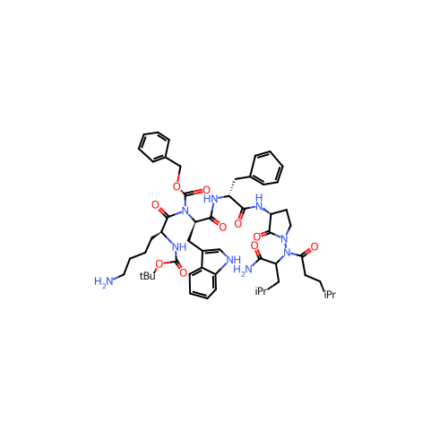 CC(C)CCC(=O)N(C(CC(C)C)C(N)=O)N1CC[C@H](NC(=O)[C@@H](Cc2ccccc2)NC(=O)[C@@H](Cc2c[nH]c3ccccc23)N(C(=O)OCc2ccccc2)C(=O)[C@H](CCCCN)NC(=O)OC(C)(C)C)C1=O